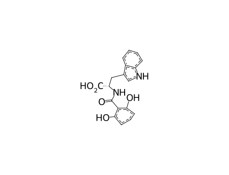 O=C(N[C@@H](Cc1c[nH]c2ccccc12)C(=O)O)c1c(O)cccc1O